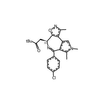 Cc1noc2c1-c1cn(C)c(C)c1C(c1ccc(Cl)cc1)=N[C@H]2CC(=O)C(C)(C)C